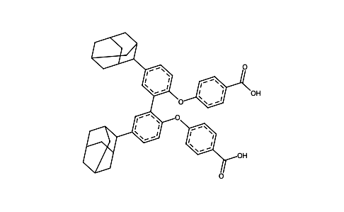 O=C(O)c1ccc(Oc2ccc(C3C4CC5CC(C4)CC3C5)cc2-c2cc(C3C4CC5CC(C4)CC3C5)ccc2Oc2ccc(C(=O)O)cc2)cc1